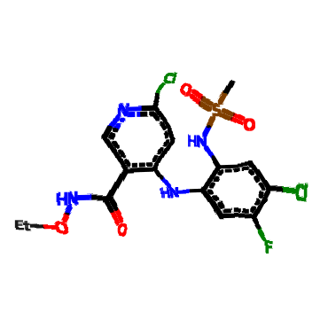 CCONC(=O)c1cnc(Cl)cc1Nc1cc(F)c(Cl)cc1NS(C)(=O)=O